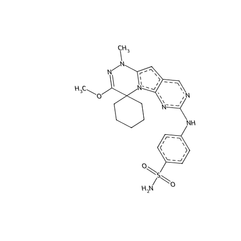 COC1=NN(C)c2cc3cnc(Nc4ccc(S(N)(=O)=O)cc4)nc3n2C12CCCCC2